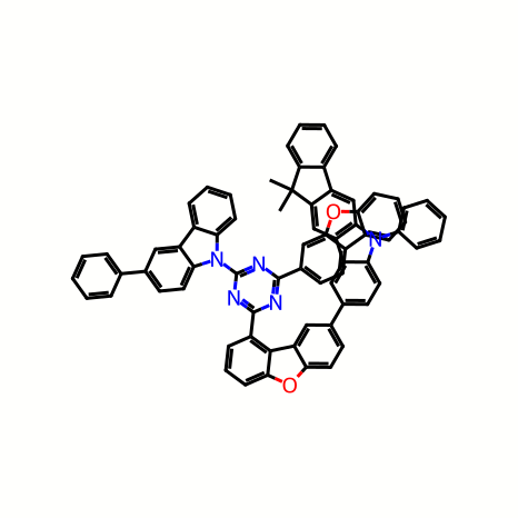 CC1(C)c2ccccc2-c2cc3c(cc21)c1cc(-c2ccc4oc5cccc(-c6nc(-c7ccc8c(c7)oc7ccccc78)nc(-n7c8ccccc8c8cc(-c9ccccc9)ccc87)n6)c5c4c2)ccc1n3-c1ccccc1